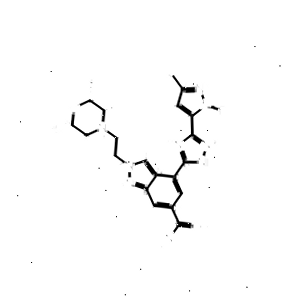 CCn1nc(C)cc1-c1n[nH]c(-c2cc(C(N)=O)cc3nn(CCN4C[C@@H](C)O[C@@H](C)C4)cc23)n1